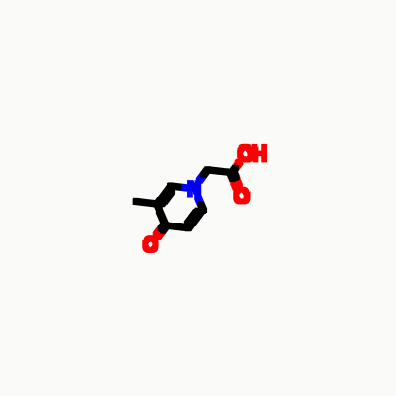 Cc1cn(CC(=O)O)ccc1=O